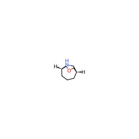 C1C[C@H]2CN[C@@H](C1)COC2